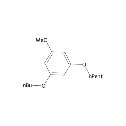 [CH2]CCCOc1cc(OC)cc(OCCCCC)c1